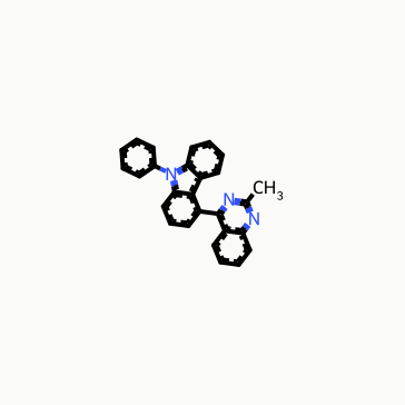 Cc1nc(-c2cccc3c2c2ccccc2n3-c2ccccc2)c2ccccc2n1